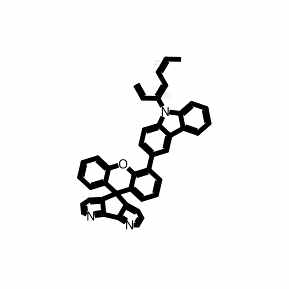 C=C/C(=C\C=C/C)n1c2ccccc2c2cc(-c3cccc4c3Oc3ccccc3C43c4cccnc4-c4ncccc43)ccc21